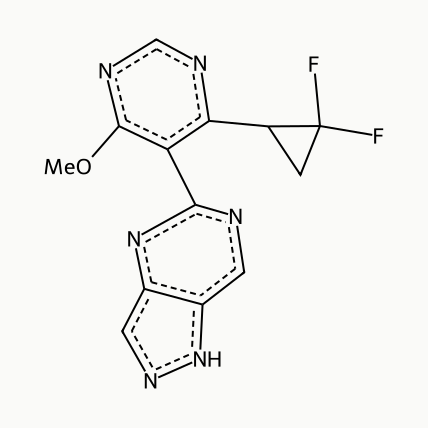 COc1ncnc(C2CC2(F)F)c1-c1ncc2[nH]ncc2n1